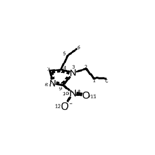 CCCn1c(CC)cnc1[N+](=O)[O-]